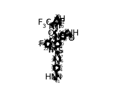 O=C(Cn1nc(C(F)(F)F)c2c1C(F)(F)[C@@H]1CC21)N[C@@H](Cc1cc(F)cc(F)c1)c1nc2nc(N3CCN(c4ccc(-c5ncc[nH]5)cc4)CC3)sc2cc1-c1ccc2c(c1)C(=O)NC2